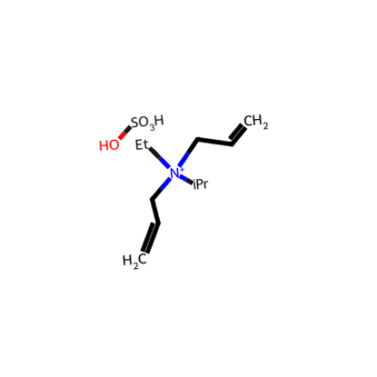 C=CC[N+](CC)(CC=C)C(C)C.O=S(=O)(O)O